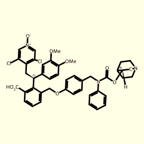 COc1ccc([C@H](Cc2c(Cl)c[n+]([O-])cc2Cl)c2c(COc3ccc(CN(C(=O)O[C@H]4CN5CCC4CC5)c4ccccc4)cc3)cccc2C(=O)O)cc1OC